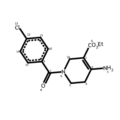 CCOC(=O)C1=C(N)CCN(C(=O)c2ccc(Cl)cc2)C1